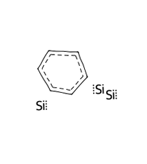 [Si].[Si].[Si].c1ccccc1